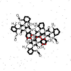 Cc1cc(-n2c(=O)n(-c3c(C)cccc3N=C=O)c(=O)n(-c3c(C)cccc3N=C=O)c2=O)ccc1-n1c(=O)n(-c2c(C)cccc2N=C=O)c(=O)n(-c2c(C)cccc2-n2c(=O)n(-c3c(C)cccc3N=C=O)c(=O)n(-c3c(C)cccc3-n3c(=O)n(-c4c(C)cccc4N=C=O)c(=O)n(-c4c(C)cccc4N=C=O)c3=O)c2=O)c1=O